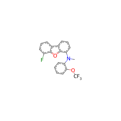 CN(c1ccccc1OC(F)(F)F)c1cccc2c1oc1c(F)cccc12